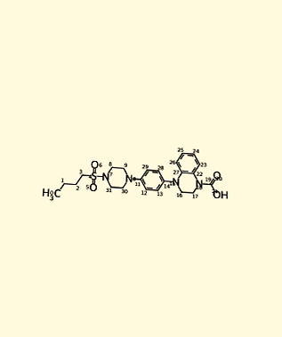 CCCCS(=O)(=O)N1CCN(c2ccc(N3CCN(C(=O)O)c4ccccc43)cc2)CC1